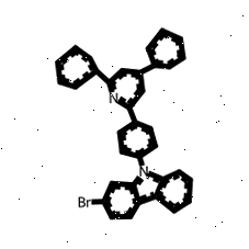 Brc1ccc2c3ccccc3n(-c3ccc(-c4cc(-c5ccccc5)cc(-c5ccccc5)n4)cc3)c2c1